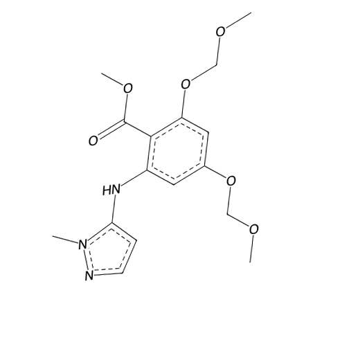 COCOc1cc(Nc2ccnn2C)c(C(=O)OC)c(OCOC)c1